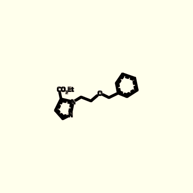 CCOC(=O)c1ccnn1CCOCc1ccccc1